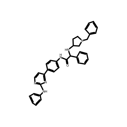 O=C(Nc1ccc(-c2ccnc(Nc3ccccc3)n2)cc1)C(NC1CCN(Cc2ccccc2)C1)c1ccccc1